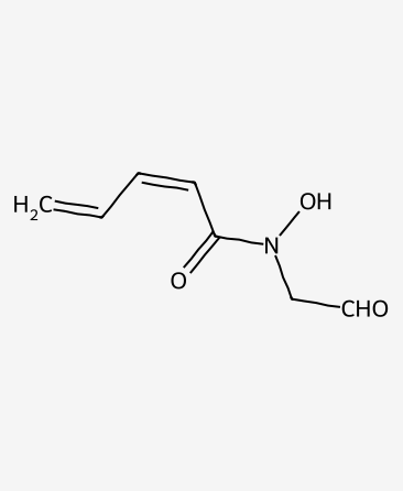 C=C/C=C\C(=O)N(O)CC=O